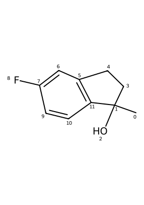 CC1(O)CCc2cc(F)ccc21